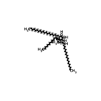 CCCCCCCCCCCCCCCCCCNC(=O)N[C@H]1[C@@H](OC)O[C@H](CN(CCCCCCCCCCCCCCCCCC)C(=O)CCCCCCCCCCC)[C@@H](O)[C@@H]1O